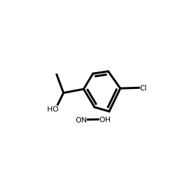 CC(O)c1ccc(Cl)cc1.O=NO